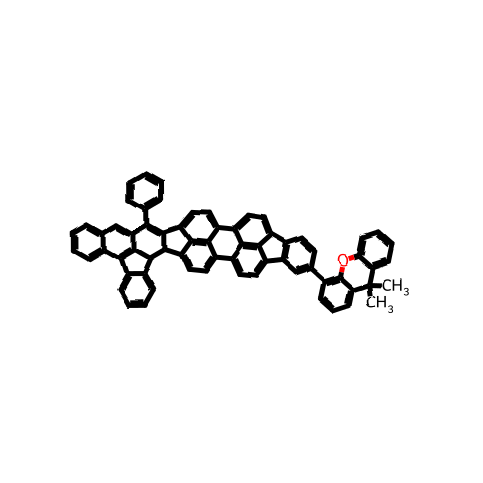 CC1(C)c2ccccc2Oc2c(-c3ccc4c(c3)-c3ccc5c6ccc7c8c(ccc(c9ccc-4c3c95)c86)C3=C(c4ccccc4)c4cc5ccccc5c5c4C(c4ccccc4-5)C37)cccc21